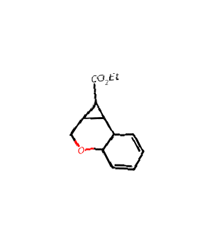 CCOC(=O)C1C2COC3C=CC=CC3C21